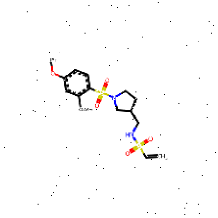 C=CS(=O)(=O)NCC1CCN(S(=O)(=O)c2ccc(OC(C)C)cc2OC)C1